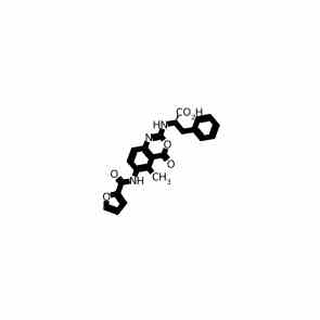 Cc1c(NC(=O)c2ccco2)ccc2nc(N[C@@H](Cc3ccccc3)C(=O)O)oc(=O)c12